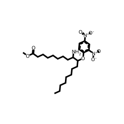 CCCCCCCCC(Oc1ccc([N+](=O)[O-])cc1[N+](=O)[O-])C(N)CCCCCCCC(=O)OC